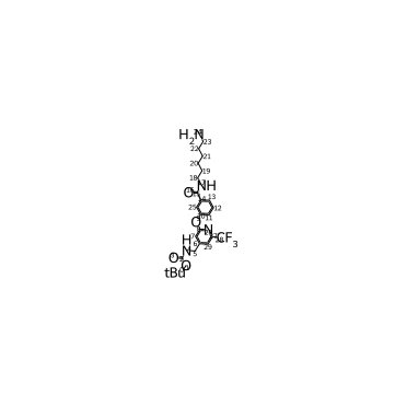 CC(C)(C)OC(=O)NCc1cc(Oc2cccc(C(=O)NCCCCCCN)c2)nc(C(F)(F)F)c1